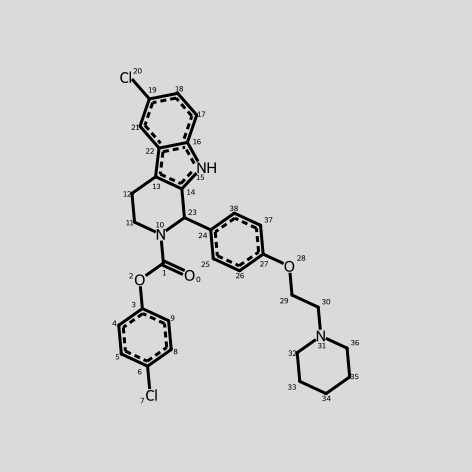 O=C(Oc1ccc(Cl)cc1)N1CCc2c([nH]c3ccc(Cl)cc23)C1c1ccc(OCCN2CCCCC2)cc1